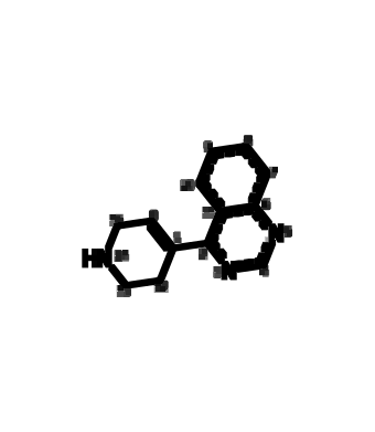 C1=C(c2ncnc3ccccc23)CCNC1